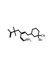 C=C(C)C(C)(C)CC(/C=C\N)=C/CC1CCCC(C#N)(C(C)CC)C1